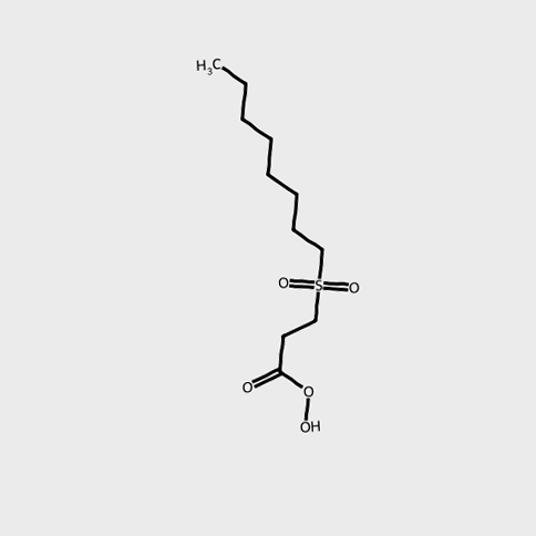 CCCCCCCCS(=O)(=O)CCC(=O)OO